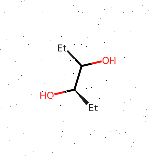 CCC(O)[C@H](O)CC